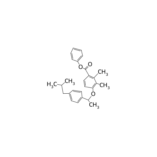 Cc1c(OC(C)c2ccc(CC(C)C)cc2)ccc(C(=O)Oc2ccccc2)c1C